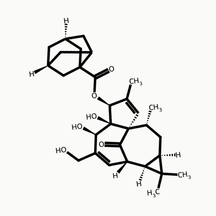 CC1=C[C@]23C(=O)[C@@H](C=C(CO)[C@@H](O)[C@]2(O)[C@H]1OC(=O)C12C[C@@H]4CC1C[C@@H](C4)C2)[C@H]1[C@@H](C[C@H]3C)C1(C)C